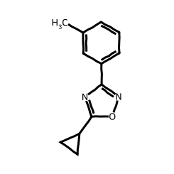 Cc1cccc(-c2noc(C3CC3)n2)c1